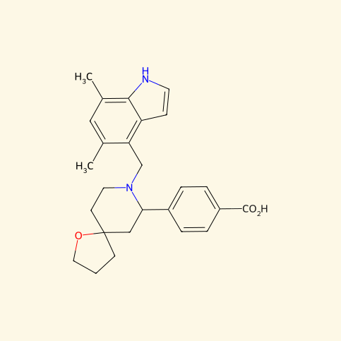 Cc1cc(C)c2[nH]ccc2c1CN1CCC2(CCCO2)CC1c1ccc(C(=O)O)cc1